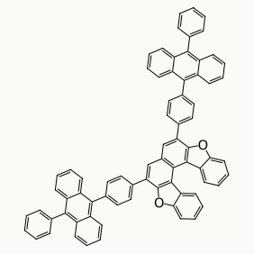 c1ccc(-c2c3ccccc3c(-c3ccc(-c4cc5cc(-c6ccc(-c7c8ccccc8c(-c8ccccc8)c8ccccc78)cc6)c6oc7ccccc7c6c5c5c4oc4ccccc45)cc3)c3ccccc23)cc1